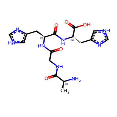 C[C@H](N)C(=O)NCC(=O)N[C@@H](Cc1c[nH]cn1)C(=O)N[C@@H](Cc1c[nH]cn1)C(=O)O